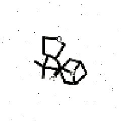 CC(C)(C)N1CC2CC(C1)N2C(=O)C1CCOC1